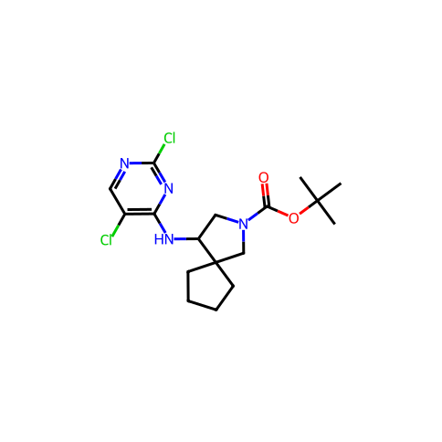 CC(C)(C)OC(=O)N1CC(Nc2nc(Cl)ncc2Cl)C2(CCCC2)C1